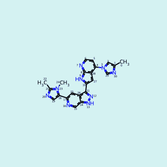 Cc1cn(-c2ccnc3[nH]c(-c4n[nH]c5cnc(-c6cnc(C)n6C)cc45)cc23)cn1